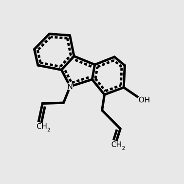 C=CCc1c(O)ccc2c3ccccc3n(CC=C)c12